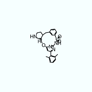 Cc1cccc(C)c1-c1cc2nc(n1)NS(=O)(=O)c1cccc(c1)CC1CCNC[C@@H]1CO2